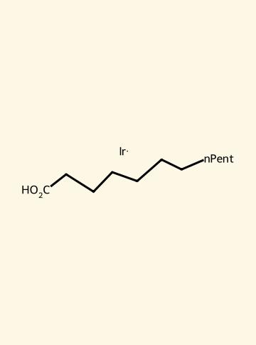 CCCCCCCCCCCC(=O)O.[Ir]